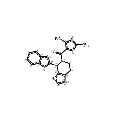 Nc1nc(C(F)(F)F)c(C(=O)N2CCc3[nH]cnc3[C@H]2c2nc3ccccc3s2)o1